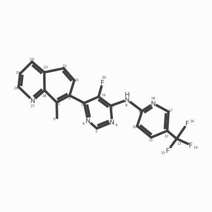 Cc1c(-c2ncnc(Nc3ccc(C(F)(F)F)cn3)c2F)ccc2cccnc12